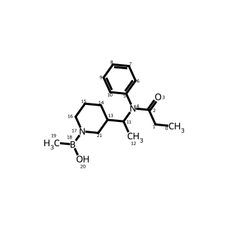 CCC(=O)N(c1ccccc1)C(C)C1CCCN(B(C)O)C1